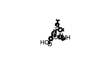 CC(C)c1csc(C2=C(CN3CCN(c4ccc(C(=O)O)cc4)C(Oc4cnc5[nH]ccc5c4)C3)CCC(C)(C)C2)c1